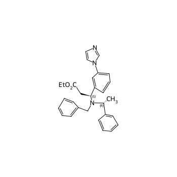 CCOC(=O)C[C@@H](c1cccc(-n2ccnc2)c1)N(Cc1ccccc1)[C@H](C)c1ccccc1